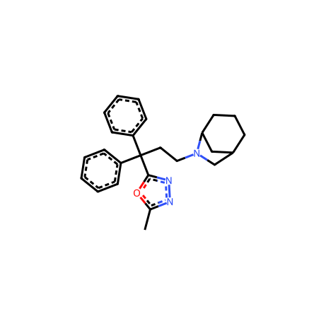 Cc1nnc(C(CCN2CC3CCCC2C3)(c2ccccc2)c2ccccc2)o1